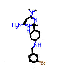 CN(C)C1=NC(C)(C2CCC(NCc3cccc(Br)c3)CC2)NC(N)=C1